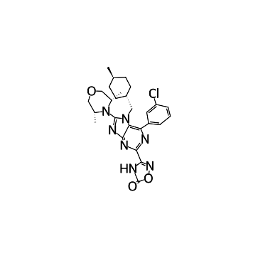 C[C@@H]1COC[C@H](C)N1c1nc2nc(-c3noc(=O)[nH]3)nc(-c3cccc(Cl)c3)c2n1C[C@H]1CC[C@H](C)CC1